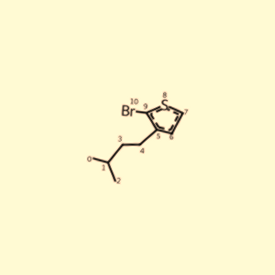 CC(C)CCc1ccsc1Br